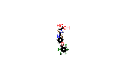 OC(O)C1CSC(c2nc3ccc(OCc4c(F)c(F)c(F)c(F)c4F)cc3s2)=N1